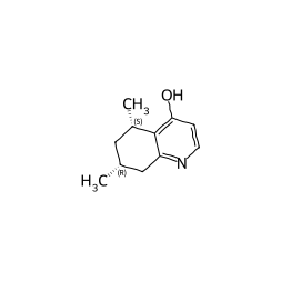 C[C@H]1Cc2nccc(O)c2[C@@H](C)C1